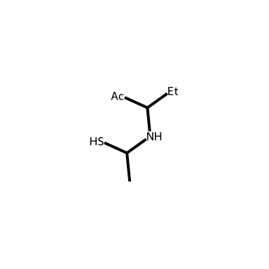 CCC(NC(C)S)C(C)=O